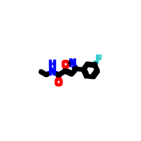 CCNC(=O)c1cc(-c2cccc(F)c2)no1